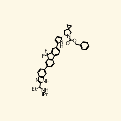 CC[C@H](NC(C)C)c1nc2ccc(-c3ccc4c(c3)C(F)(F)c3cc(-c5ccc([C@@H]6CC7(CC7)CN6C(=O)OCc6ccccc6)[nH]5)ccc3-4)cc2[nH]1